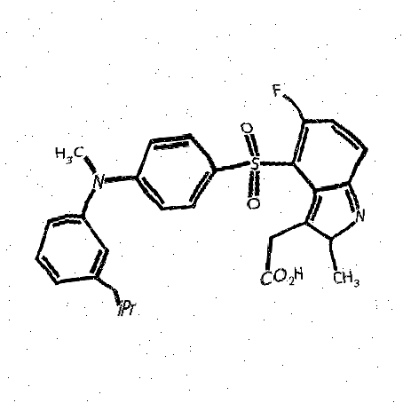 CC1N=c2ccc(F)c(S(=O)(=O)c3ccc(N(C)c4cccc(C(C)C)c4)cc3)c2=C1CC(=O)O